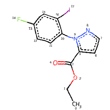 CCOC(=O)c1ccnn1-c1ccc(F)cc1I